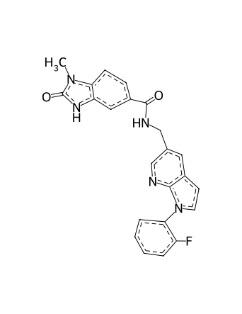 Cn1c(=O)[nH]c2cc(C(=O)NCc3cnc4c(ccn4-c4ccccc4F)c3)ccc21